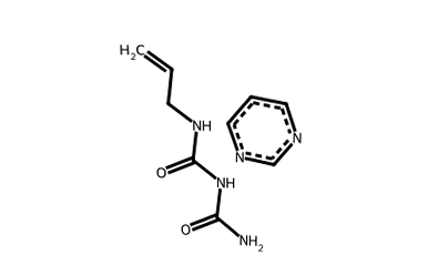 C=CCNC(=O)NC(N)=O.c1cncnc1